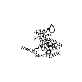 COC(=O)CCCOC1OC(CO)C(OC2OC(CO)C(O)C(OCCC3CCCCC3)C2O)C(OC2OC(C)C(O)C(O)C2O)C1NC(=O)c1ccc(OC)c(OC)c1